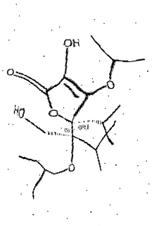 CC(C)OC1=C(O)C(=O)O[C@]1(C(C)C)[C@](CO)(OC(C)C)C(C)C